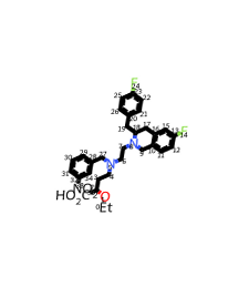 CCOC(CCN(CCN1Cc2ccc(F)cc2CC1Cc1ccc(F)cc1)Cc1cccc([N+](=O)[O-])c1)C(=O)O